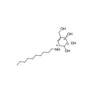 CCCCCCCCCCN[C@@H]1C=C(CO)[C@@H](O)[C@H](O)C1O